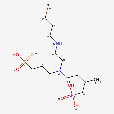 CC(CCN(CCCS(=O)(=O)O)CCNCCCS)CP(=O)(O)O